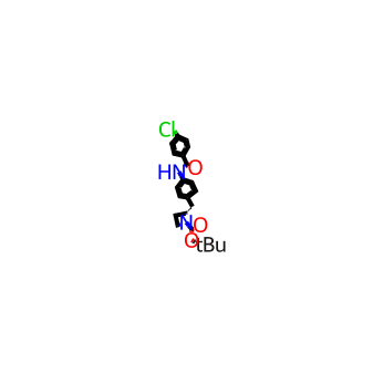 CC(C)(C)OC(=O)N1CC[C@@H]1Cc1ccc(NC(=O)c2ccc(Cl)cc2)cc1